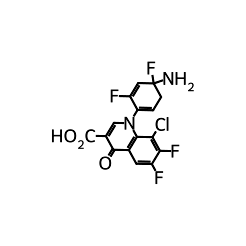 NC1(F)C=C(F)C(n2cc(C(=O)O)c(=O)c3cc(F)c(F)c(Cl)c32)=CC1